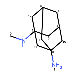 CNC12CC3CC(CC(N)(C3)C1)C2